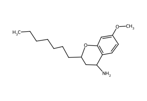 CCCCCCCC1CC(N)c2ccc(OC)cc2O1